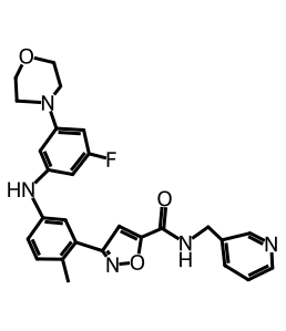 Cc1ccc(Nc2cc(F)cc(N3CCOCC3)c2)cc1-c1cc(C(=O)NCc2cccnc2)on1